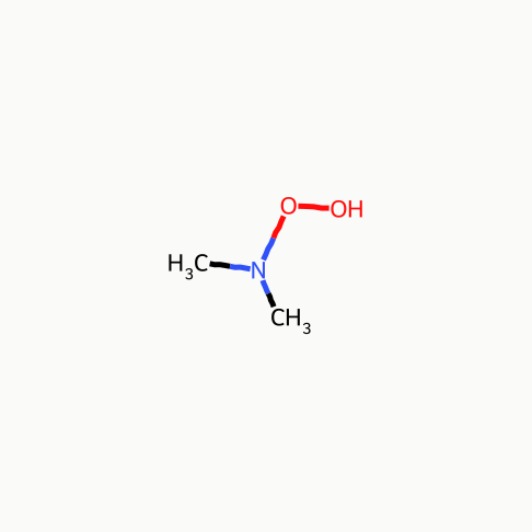 CN(C)OO